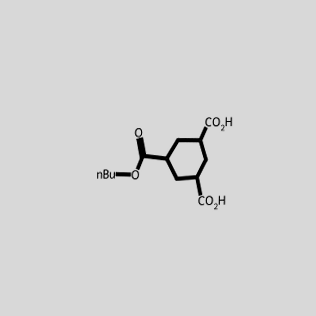 CCCCOC(=O)C1CC(C(=O)O)CC(C(=O)O)C1